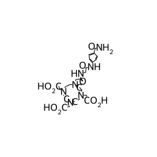 NC(=O)c1ccc(NC(=O)CNC(=O)CN2CCN(CC(=O)O)CCN(CC(=O)O)CCN(CC(=O)O)CC2)cc1